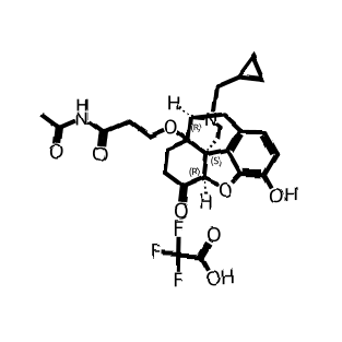 CC(=O)NC(=O)CCOC12CCC(=O)[C@@H]3Oc4c(O)ccc5c4[C@@]31CCN(CC1CC1)[C@@H]2C5.O=C(O)C(F)(F)F